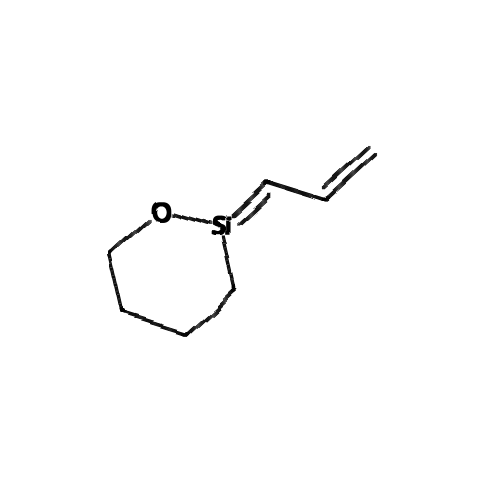 C=CC=[Si]1CCCCO1